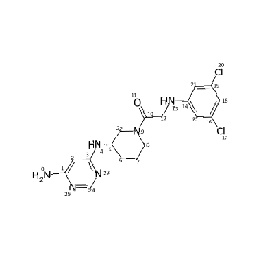 Nc1cc(N[C@H]2CCCN(C(=O)CNc3cc(Cl)cc(Cl)c3)C2)ncn1